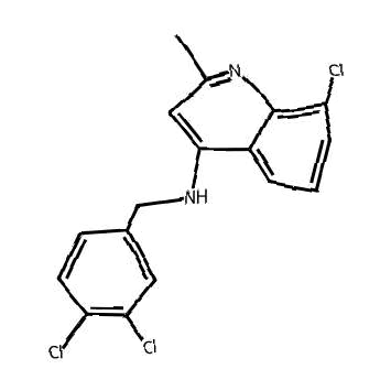 Cc1cc(NCc2ccc(Cl)c(Cl)c2)c2cccc(Cl)c2n1